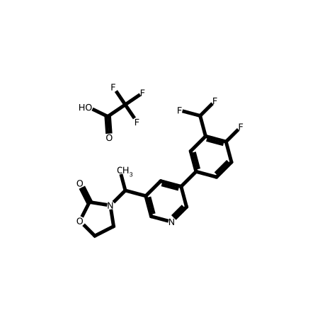 CC(c1cncc(-c2ccc(F)c(C(F)F)c2)c1)N1CCOC1=O.O=C(O)C(F)(F)F